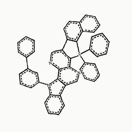 c1ccc(-c2cccc(-n3c4ccccc4c4cnc5c6c(cnc5c43)-c3ccc4ccccc4c3S6(c3ccccc3)c3ccccc3)c2)cc1